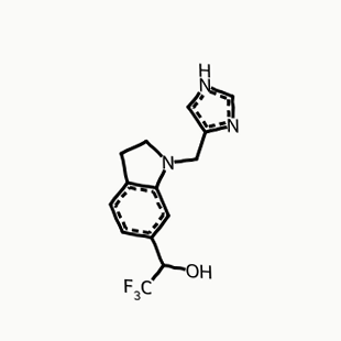 OC(c1ccc2c(c1)N(Cc1c[nH]cn1)CC2)C(F)(F)F